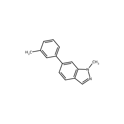 [CH2]c1cccc(-c2ccc3cnn(C)c3c2)c1